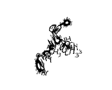 CC(C)(C)OC(=O)NC1CC(n2cc(-c3ccc(NC(=O)c4cccc(Br)n4)nc3)nn2)CN(C(=O)OCc2ccccc2)C1